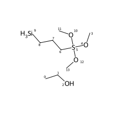 CCO.COS(CCC[SiH3])(OC)OC